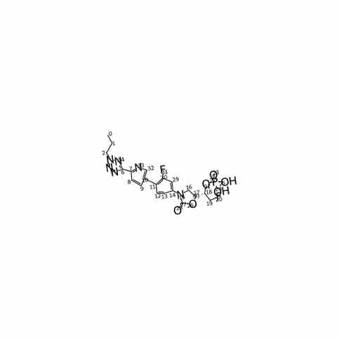 CCCn1nnc(-c2ccc(-c3ccc(N4C[C@H](C(CF)OP(=O)(O)O)OC4=O)cc3F)cn2)n1